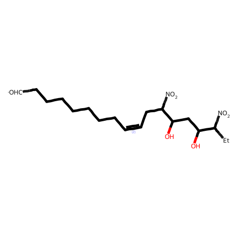 CCC(C(O)CC(O)C(C/C=C\CCCCCCC[C]=O)[N+](=O)[O-])[N+](=O)[O-]